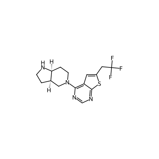 FC(F)(F)Cc1cc2c(N3CC[C@@H]4NCC[C@@H]4C3)ncnc2s1